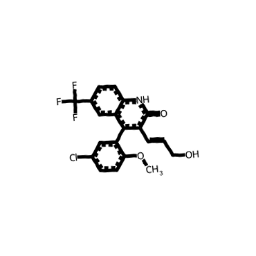 COc1ccc(Cl)cc1-c1c(C=CCO)c(=O)[nH]c2ccc(C(F)(F)F)cc12